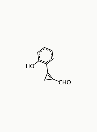 O=CC1=C(c2ccccc2O)C1